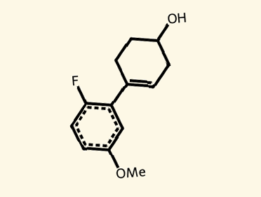 COc1ccc(F)c(C2=CCC(O)CC2)c1